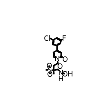 CC(CCn1ccc(-c2cc(F)cc(Cl)c2)cc1=O)(C(=O)NO)S(C)(=O)=O